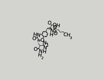 CCCCS(=O)(=O)N[C@@H](Cc1ccc2c(c1)NC(=O)[C@@H](CC(C(N)=O)c1ncc[nH]1)O2)C(=O)O